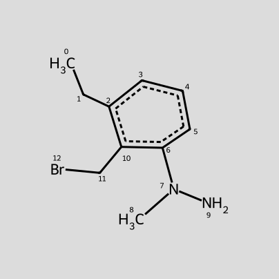 CCc1cccc(N(C)N)c1CBr